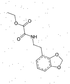 CCOC(=O)C(=O)NCCc1cccc2c1OCO2